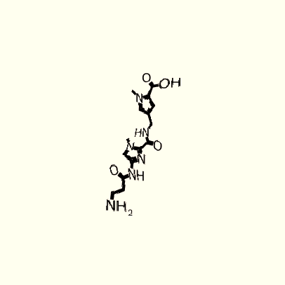 Cn1cc(CNC(=O)c2nc(NC(=O)CCN)cn2C)cc1C(=O)O